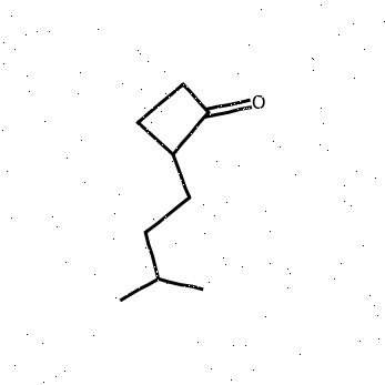 CC(C)CCC1CCC1=O